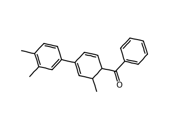 Cc1ccc(C2=CC(C)C(C(=O)c3ccccc3)C=C2)cc1C